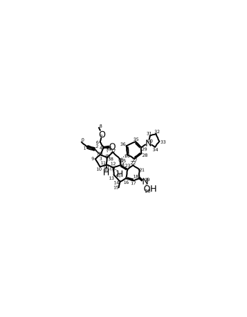 CC#C[C@]1(C(=O)COC)CC[C@H]2[C@@H]3CC(C)C4=CC(=NO)CCC4=C3[C@@H](c3ccc(N4CCCC4)cc3)C[C@@]21C